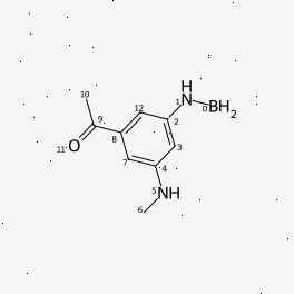 BNc1cc(NC)cc(C(C)=O)c1